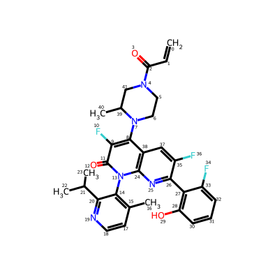 C=CC(=O)N1CCN(c2c(F)c(=O)n(-c3c(C)ccnc3C(C)C)c3nc(-c4c(O)cccc4F)c(F)cc23)C(C)C1